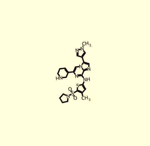 Cc1cc(Nc2nc(C3=CCCNC3)cn3c(-c4cnn(C)c4)cnc23)sc1S(=O)(=O)N1CCCC1